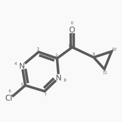 O=C(c1cnc(Cl)cn1)C1CC1